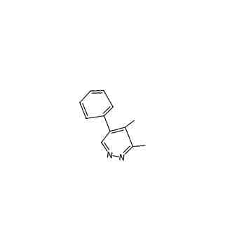 Cc1nncc(-c2ccccc2)c1C